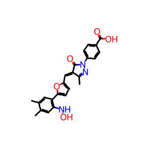 CC1=NN(c2ccc(C(=O)O)cc2)C(=O)/C1=C/c1ccc(-c2cc(C)c(C)cc2NO)o1